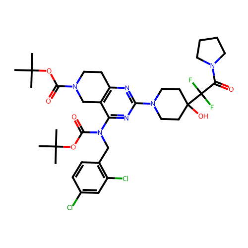 CC(C)(C)OC(=O)N1CCc2nc(N3CCC(O)(C(F)(F)C(=O)N4CCCC4)CC3)nc(N(Cc3ccc(Cl)cc3Cl)C(=O)OC(C)(C)C)c2C1